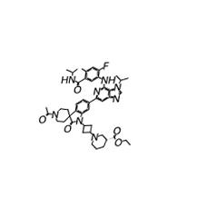 CCOC(=O)[C@@H]1CCCN(C2CC(N3C(=O)C4(CCN(C(C)=O)CC4)c4ccc(-c5cc6ncn(C(C)C)c6c(Nc6cc(C(=O)NC(C)C)c(C)cc6F)n5)cc43)C2)C1